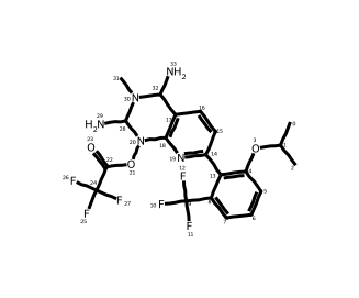 CC(C)Oc1cccc(C(F)(F)F)c1-c1ccc2c(n1)N(OC(=O)C(F)(F)F)C(N)N(C)C2N